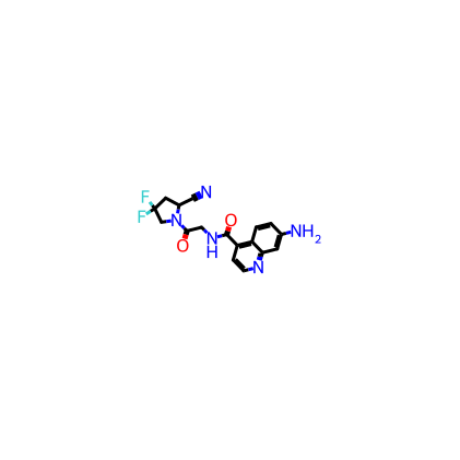 N#CC1CC(F)(F)CN1C(=O)CNC(=O)c1ccnc2cc(N)ccc12